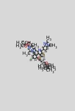 Cc1nc2cc(-c3nc(-c4cc5n(n4)[C@@H](C)CN(C(=O)OC(C)(C)C)[C@@H]5C)c(-c4c(F)cc(F)cc4OCC4CC(O[Si](C)(C)C(C)(C)C)C4)c4c(F)csc34)ccc2n1C